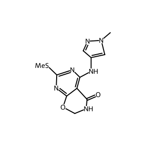 CSc1nc(Nc2cnn(C)c2)c2c(n1)OCNC2=O